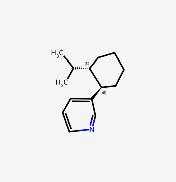 C[C](C)[C@@H]1CCCC[C@H]1c1cccnc1